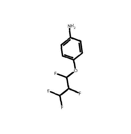 Nc1ccc(OC(F)C(F)C(F)F)cc1